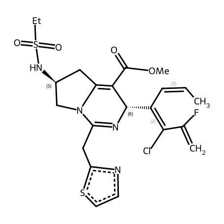 C=C(F)/C(Cl)=C(\C=C/C)[C@@H]1N=C(Cc2nccs2)N2C[C@@H](NS(=O)(=O)CC)CC2=C1C(=O)OC